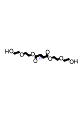 O=C(/C=C/C(=O)OCCOCCO)OCCOCCO